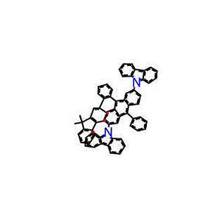 CC1(C)C2=C(CCC(c3ccccc3-c3c4ccc(-n5c6ccccc6c6ccccc65)cc4c(-c4ccccc4)c4ccc(-n5c6ccccc6c6ccccc65)cc34)=C2)c2ccccc21